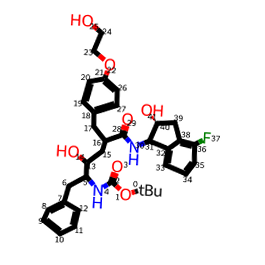 CC(C)(C)OC(=O)NC(Cc1ccccc1)C(O)CC(Cc1ccc(OCCO)cc1)C(=O)NC1c2cccc(F)c2C[C@H]1O